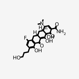 CN(C)[C@@H]1C=C(C(N)=O)C(=O)[C@@]2(O)C(O)=C3C(=O)c4c(O)c(CCCO)cc(F)c4C[C@H]3C[C@@H]12